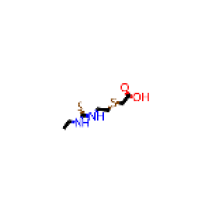 CCNC(=S)NCCSCC(=O)O